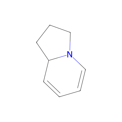 C1=CC2CCCN2C=C1